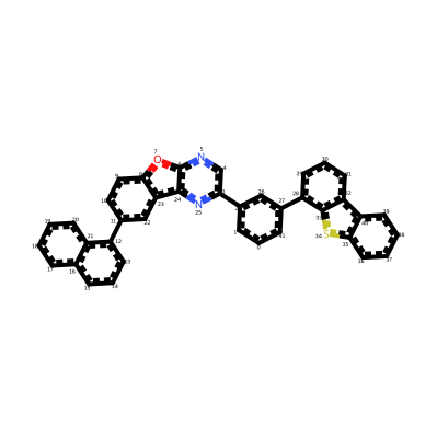 c1cc(-c2cnc3oc4ccc(-c5cccc6ccccc56)cc4c3n2)cc(-c2cccc3c2sc2ccccc23)c1